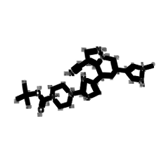 Cn1cc(-c2cc(-c3csc(N4CCN(C(=O)OC(C)(C)C)CC4)n3)c3c(C#N)cnn3c2)cn1